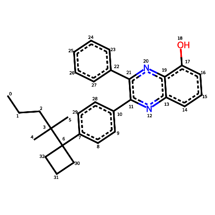 CCCC(C)(C)C1(c2ccc(-c3nc4cccc(O)c4nc3-c3ccccc3)cc2)CCC1